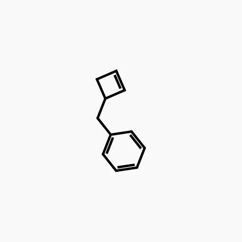 C1=CC(Cc2ccccc2)C1